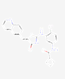 O=C1N=C(Nc2cc(NC(=O)C3CCC3)ccc2Cl)S/C1=C\c1ccc2ncccc2c1